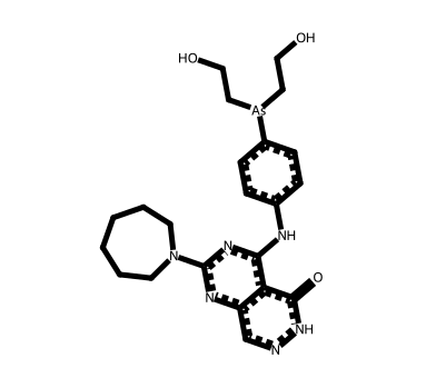 O=c1[nH]ncc2nc(N3CCCCCC3)nc(Nc3ccc([As](CCO)CCO)cc3)c12